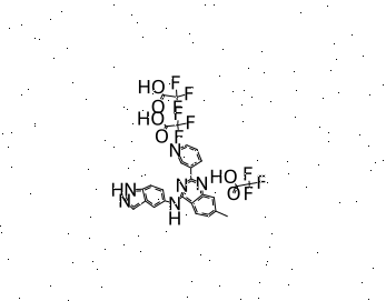 Cc1ccc2c(Nc3ccc4[nH]ncc4c3)nc(-c3cccnc3)nc2c1.O=C(O)C(F)(F)F.O=C(O)C(F)(F)F.O=C(O)C(F)(F)F